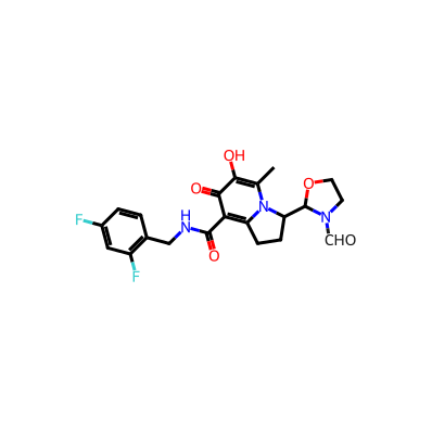 Cc1c(O)c(=O)c(C(=O)NCc2ccc(F)cc2F)c2n1C(C1OCCN1C=O)CC2